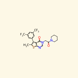 Cc1sc2ncn(CC(=O)N3CCCCC3)c(=O)c2c1-c1cc(C(F)(F)F)cc(C(F)(F)F)c1